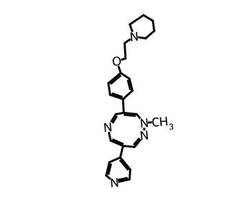 Cn1cc(-c2ccc(OCCN3CCCCC3)cc2)cncc(-c2ccncc2)cn1